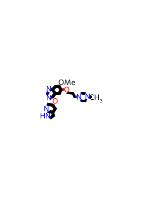 COc1cc2ncnc(Oc3cnc4[nH]ccc4c3)c2cc1OCCCN1CCN(C)CC1